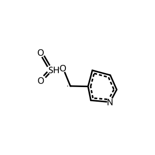 O=[SH](=O)O[CH]c1cccnc1